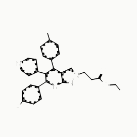 CCOC(=O)CCn1cc2c(-c3ccc(F)cc3)c(-c3ccncc3)c(-c3ccc(F)cc3)nc2n1